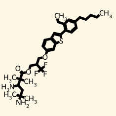 CCCCCc1ccc(-c2cc3ccc(OCC(COC(=O)C(C)(C)C(N)CC(C)(C)N)C(F)(F)F)cc3s2)c(CC)c1